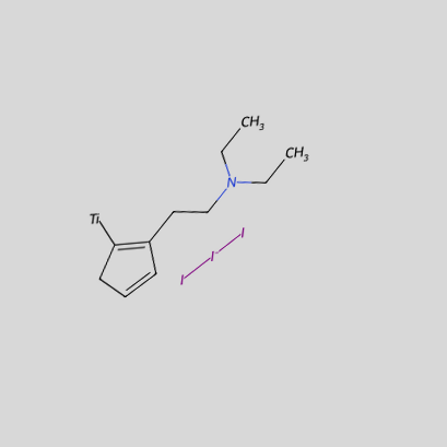 CCN(CC)CCC1=[C]([Ti])CC=C1.I[I-]I